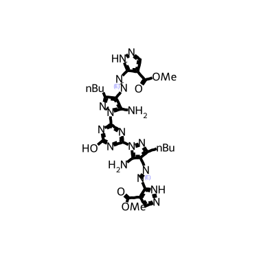 CCCCc1nn(-c2nc(O)nc(-n3nc(CCCC)c(/N=N/c4[nH]ncc4C(=O)OC)c3N)n2)c(N)c1/N=N/c1[nH]ncc1C(=O)OC